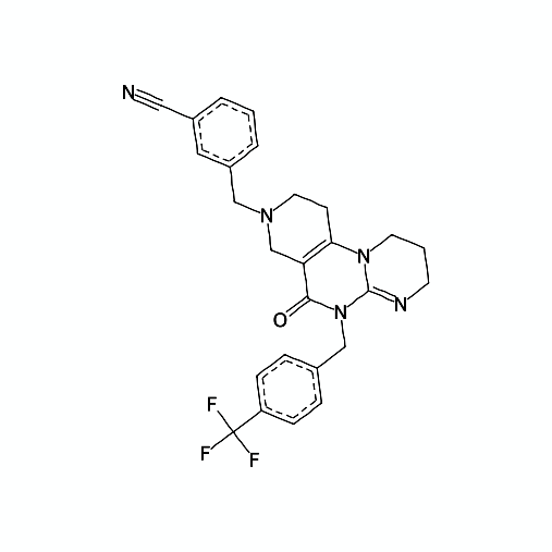 N#Cc1cccc(CN2CCC3=C(C2)C(=O)N(Cc2ccc(C(F)(F)F)cc2)C2=NCCCN23)c1